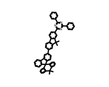 CC1(C)c2cc(-c3ccc4c(c3)-c3ccccc3C43c4ccccc4C(C)(C)c4ccccc43)ccc2-c2ccc(-c3nc(-c4ccccc4)nc(-c4ccccc4)n3)cc21